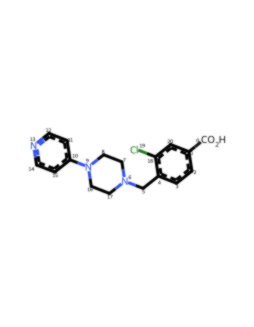 O=C(O)c1ccc(CN2CCN(c3ccncc3)CC2)c(Cl)c1